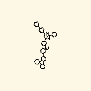 c1ccc(-c2ccc(-c3cc(-c4ccc5c(c4)oc4cc(-c6ccc7c(c6)C6(CCCCC6)c6ccccc6-7)ccc45)nc(-c4ccccc4)n3)cc2)cc1